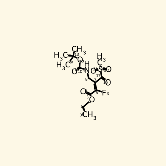 CCOC(=O)/C(F)=C(\CNC(=O)OC(C)(C)C)C(=O)S(C)(=O)=O